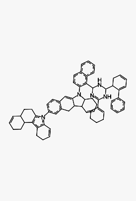 C1=CCC(C2NC(C3=CCCCC3)=NC(c3c(N4C5=Cc6ccc(-n7c8c(c9c7CCC7C=CCCC97)CCC=C8)cc6CC5C5C=CCCC54)ccc4ccccc34)N2)C(c2ccccc2)=C1